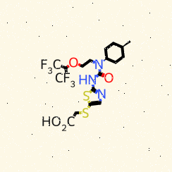 C[C@H]1CC[C@H](N(CCOC(C(F)(F)F)C(F)(F)F)C(=O)Nc2ncc(SCC(=O)O)s2)CC1